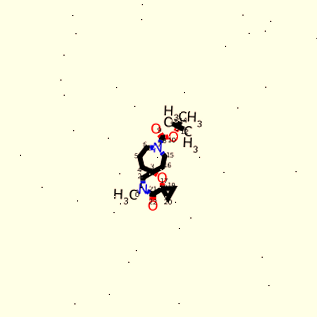 CN1CC2(CCCN(C(=O)OC(C)(C)C)CC2)OC2(CC2)C1=O